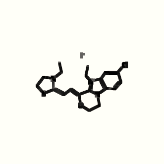 CCN1CCSC1=CC=C1OCCn2c1[n+](CC)c1cc(Cl)ccc12.[I-]